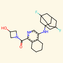 O=C(c1ncc(NC23CC4CC(F)(CC(F)(C4)C2)C3)c2c1CCCC2)N1CC(O)C1